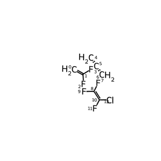 C=C(F)F.C=C=C.FC(F)=C(F)Cl